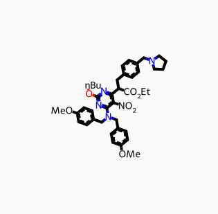 CCCCOc1nc(C(Cc2ccc(CN3CCCC3)cc2)C(=O)OCC)c([N+](=O)[O-])c(N(Cc2ccc(OC)cc2)Cc2ccc(OC)cc2)n1